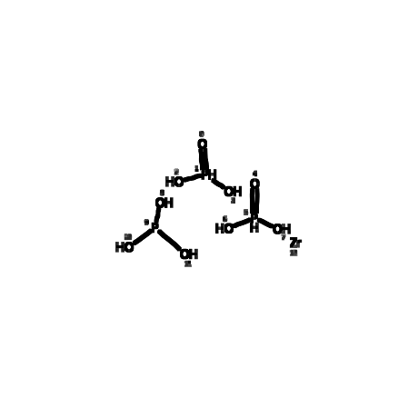 O=[PH](O)O.O=[PH](O)O.OP(O)O.[Zr]